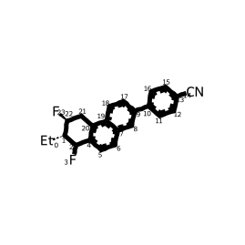 CC[C@H]1C(F)c2ccc3cc(-c4ccc(C#N)cc4)ccc3c2C[C@@H]1F